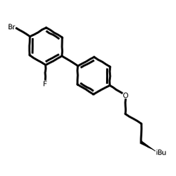 CC[C@H](C)CCCOc1ccc(-c2ccc(Br)cc2F)cc1